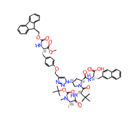 COC(=O)[C@H](Cc1ccc(OCc2cn([C@H]3C[C@@H](C(=O)N[C@@H](Cc4ccc5ccccc5c4)C(=O)O)N(C(=O)[C@@H](NC(=O)[C@H](C)N(C)C(=O)OC(C)(C)C)C(C)(C)C)C3)nn2)cc1)NC(=O)OCC1c2ccccc2-c2ccccc21